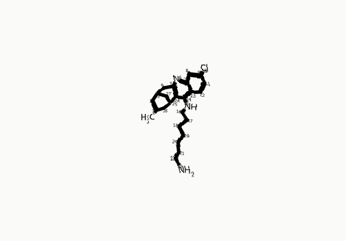 CC1=CC2Cc3nc4cc(Cl)ccc4c(NCCCCCCCN)c3C(C1)C2